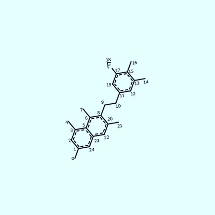 Cc1cc(C)c2c(C)c(CCc3cc(C)c(C)c(F)c3)c(C)cc2c1